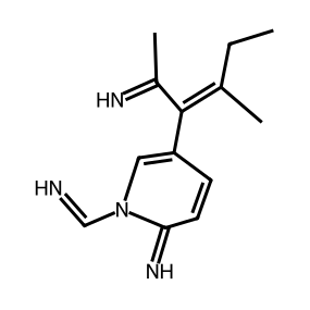 CC/C(C)=C(\C(C)=N)c1ccc(=N)n(C=N)c1